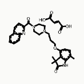 Cc1ccc(OCCCN2CCN(C(=O)c3ccc4ccccc4n3)CC2)c2c1NC(=O)C2(C)C.O=C(O)C=CC(=O)O